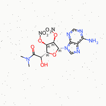 CN(C)C(=O)C(O)[C@H]1O[C@@H](n2cnc3c(N)ncnc32)[C@H](O[N+](=O)[O-])[C@@H]1O[N+](=O)[O-]